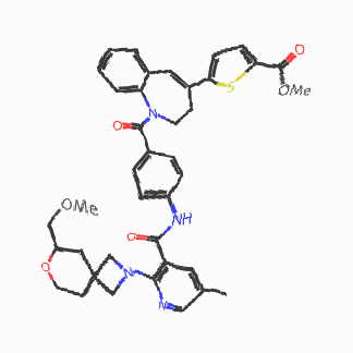 COCC1CC2(CCO1)CN(c1ncc(C)cc1C(=O)Nc1ccc(C(=O)N3CCC(c4ccc(C(=O)OC)s4)=Cc4ccccc43)cc1)C2